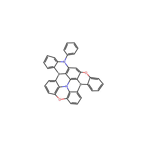 c1ccc(N2c3ccccc3B3c4cccc5c4N4c6c(cccc6B6c7ccccc7Oc7cc2c3c4c76)O5)cc1